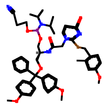 COc1ccc(C(OC[C@@H](COP(OCCC#N)N(C(C)C)C(C)C)NC(=O)Cn2ccc(=O)nc2SCc2ccc(OC)cc2C)(c2ccccc2)c2ccc(OC)cc2)cc1